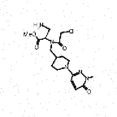 COC(=O)[C@@H](CN)N(CC1CCN(c2ccc(=O)n(C)n2)CC1)C(=O)CCl